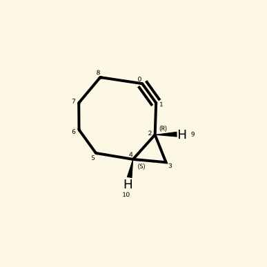 C1#C[C@@H]2C[C@@H]2CCCC1